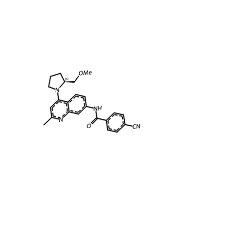 COC[C@@H]1CCCN1c1cc(C)nc2cc(NC(=O)c3ccc(C#N)cc3)ccc12